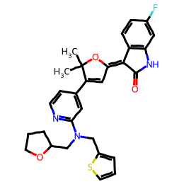 CC1(C)O/C(=C2/C(=O)Nc3cc(F)ccc32)C=C1c1ccnc(N(Cc2cccs2)CC2CCCO2)c1